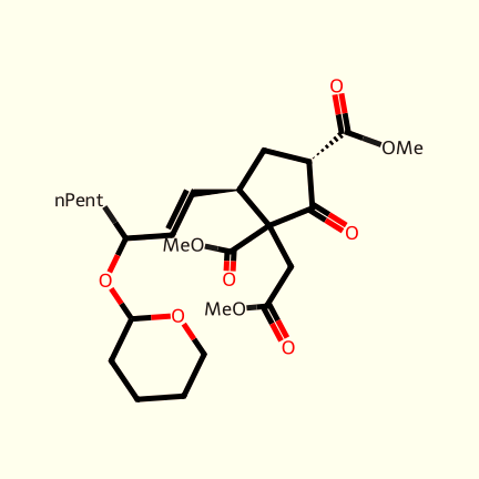 CCCCCC(C=C[C@H]1C[C@H](C(=O)OC)C(=O)C1(CC(=O)OC)C(=O)OC)OC1CCCCO1